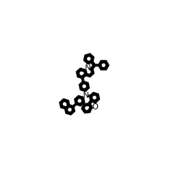 c1ccc(-c2c3ccccc3n3c2ccc2c(-c4ccc(N(c5ccc(-c6cccc7ccccc67)cc5)c5cccc6oc7ccccc7c56)cc4)cccc23)cc1